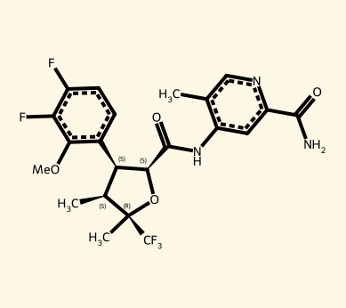 COc1c([C@H]2[C@@H](C(=O)Nc3cc(C(N)=O)ncc3C)O[C@@](C)(C(F)(F)F)[C@H]2C)ccc(F)c1F